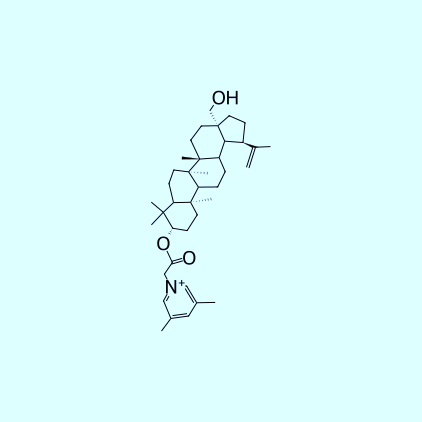 C=C(C)[C@@H]1CC[C@]2(CO)CC[C@]3(C)C(CCC4[C@@]5(C)CC[C@H](OC(=O)C[n+]6cc(C)cc(C)c6)C(C)(C)C5CC[C@]43C)C12